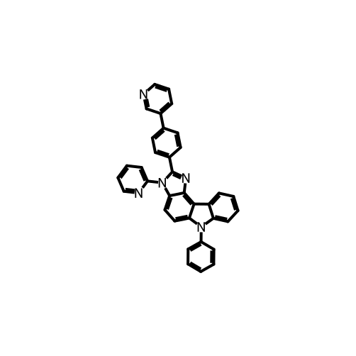 c1ccc(-n2c3ccccc3c3c4nc(-c5ccc(-c6cccnc6)cc5)n(-c5ccccn5)c4ccc32)cc1